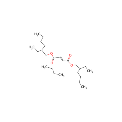 CCCC.CCCCC(CC)COC(=O)/C=C/C(=O)OCC(CC)CCCC